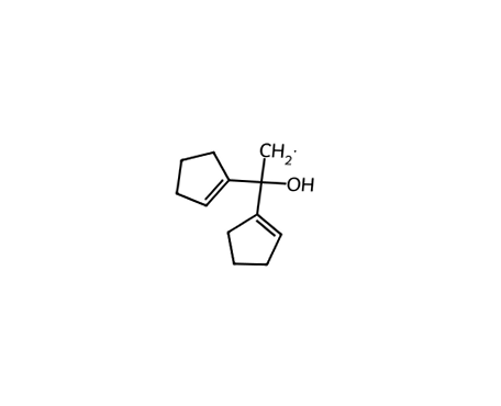 [CH2]C(O)(C1=CCCC1)C1=CCCC1